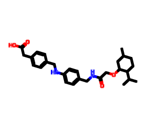 CC1CCC(C(C)C)C(OCC(=O)NCc2ccc(NCc3ccc(CC(=O)O)cc3)cc2)C1